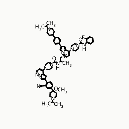 COC1(c2ccc(-c3cc4c(N5CCN(C(=O)NC(C)C[n+]6ccc(N7CCN(C(=O)Nc8ccccc8F)CC7)c7cc(-c8ccc(C9CCN(C(C)C)CC9)cc8)cn76)CC5)ccnn4c3)c(C#N)c2)CCN(C(C)C)CC1